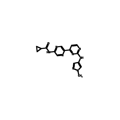 Cn1cc(Nc2nccc(-c3cnc(NC(=O)C4CC4)cn3)n2)cn1